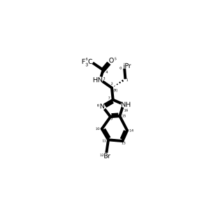 CC(C)C[C@@H](NC(=O)C(F)(F)F)c1nc2cc(Br)ccc2[nH]1